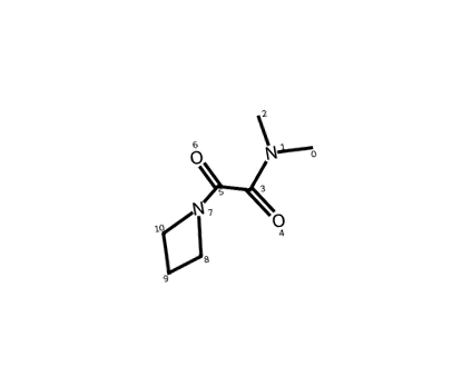 CN(C)C(=O)C(=O)N1CCC1